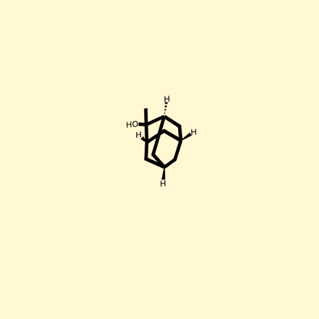 CC1(O)[C@H]2C[C@H]3C[C@H](C2)C[C@H]1C3